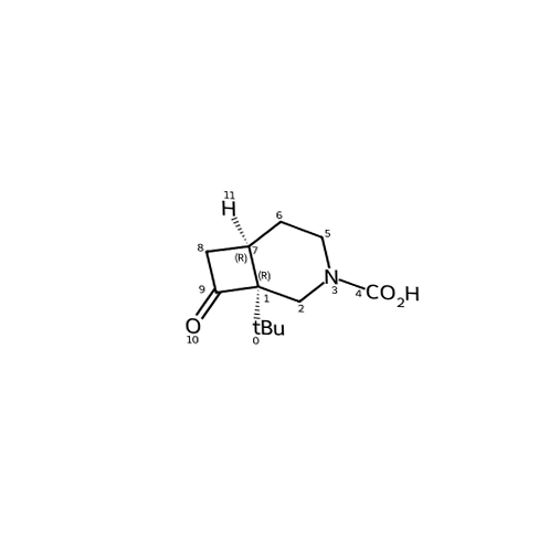 CC(C)(C)[C@@]12CN(C(=O)O)CC[C@@H]1CC2=O